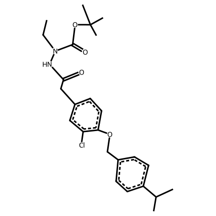 CCN(NC(=O)Cc1ccc(OCc2ccc(C(C)C)cc2)c(Cl)c1)C(=O)OC(C)(C)C